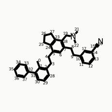 Cc1c(CCc2cc(CCc3cccc(C#N)c3)c(CN(C)C)c3c2CCC3)cccc1-c1ccccc1